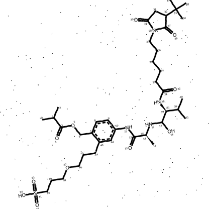 CC(C)C(=O)OCc1ccc(NC(=O)[C@H](C)NC(O)[C@@H](NC(=O)CCCCCN2C(=O)CC(C(C)(C)C)C2=O)C(C)C)cc1CCCOCCCS(=O)(=O)O